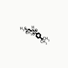 CC(C)c1ccc(S(=O)(=O)NCCN(C)C)cc1